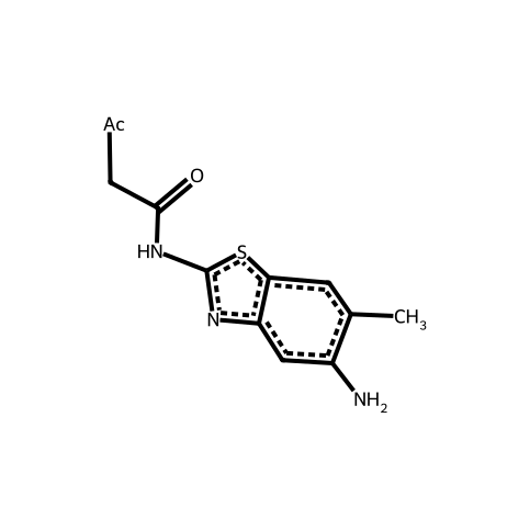 CC(=O)CC(=O)Nc1nc2cc(N)c(C)cc2s1